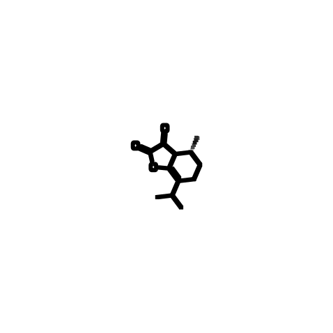 CC(C)C1=C2OC(=O)C(=O)C2[C@H](C)CC1